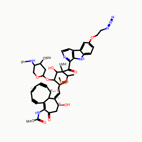 COC(=O)NC1=C2C#C/C=C\C#C[C@H](OC3OC(C)C(SC)(C(=O)c4nccc5c4[nH]c4ccc(OCCN=[N+]=[N-])cc45)C(O)C3OC3CC(OC)C(NC(C)C)CO3)C2/C(=C\CS(C)=S)[C@@H](O)CC1=O